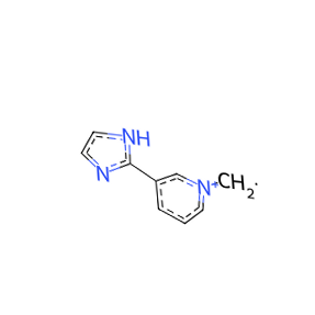 [CH2][n+]1cccc(-c2ncc[nH]2)c1